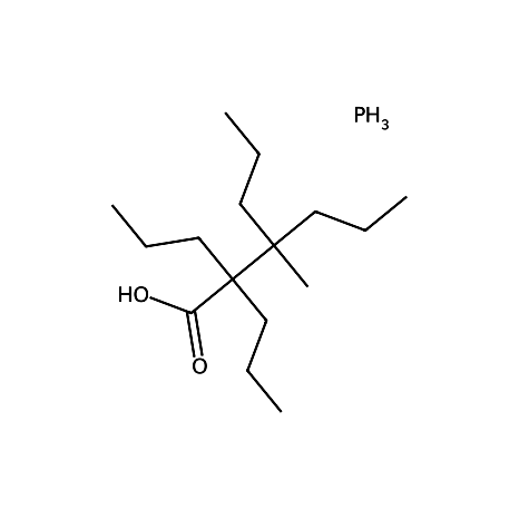 CCCC(C)(CCC)C(CCC)(CCC)C(=O)O.P